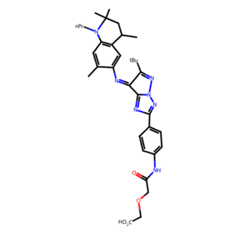 CCCN1c2cc(C)c(N=C3C(C(C)(C)C)=Nn4nc(-c5ccc(NC(=O)COCC(=O)O)cc5)nc43)cc2C(C)CC1(C)C